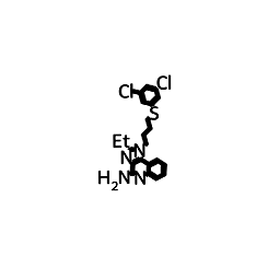 CCc1nc2c(N)nc3ccccc3c2n1CCCCSc1cc(Cl)cc(Cl)c1